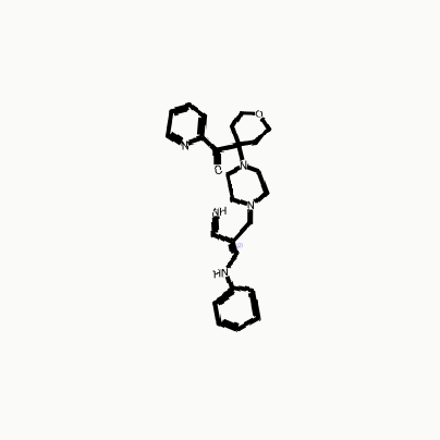 N=C/C(=C\Nc1ccccc1)CN1CCN(C2(C(=O)c3ccccn3)CCOCC2)CC1